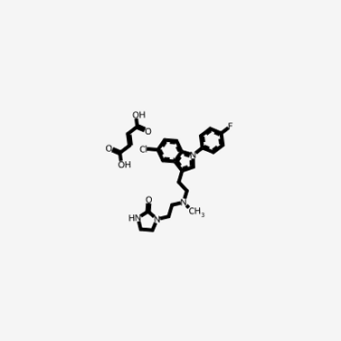 CN(CCc1cn(-c2ccc(F)cc2)c2ccc(Cl)cc12)CCN1CCNC1=O.O=C(O)C=CC(=O)O